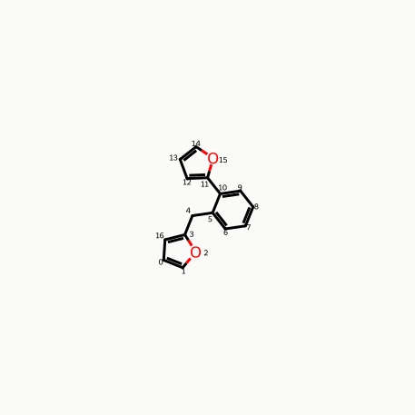 c1coc(Cc2ccccc2-c2ccco2)c1